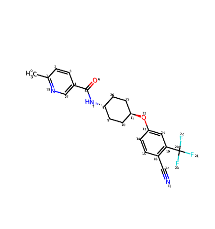 Cc1ccc(C(=O)N[C@H]2CC[C@H](Oc3ccc(C#N)c(C(F)(F)F)c3)CC2)cn1